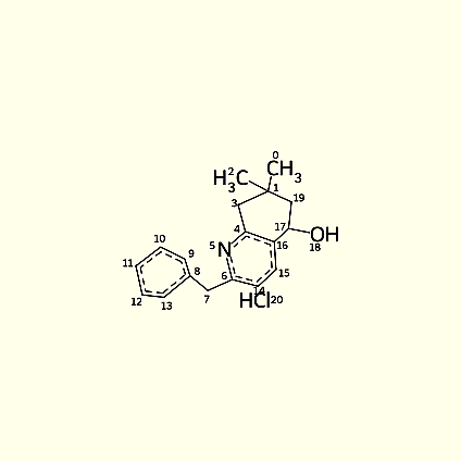 CC1(C)Cc2nc(Cc3ccccc3)ccc2C(O)C1.Cl